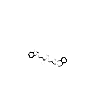 O=C(CCn1cnc2ccccc21)NCC(O)CN1CCc2ccccc2C1